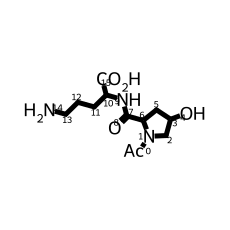 CC(=O)N1CC(O)CC1C(=O)NC(CCCN)C(=O)O